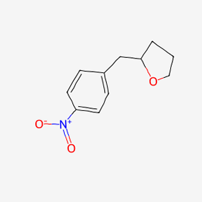 O=[N+]([O-])c1ccc(CC2CCCO2)cc1